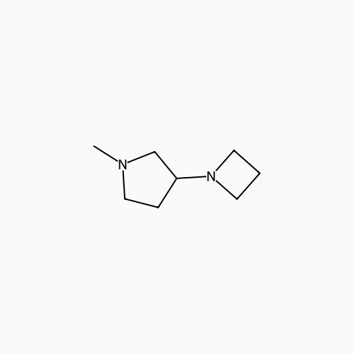 CN1CCC(N2CCC2)C1